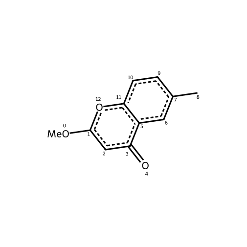 COc1cc(=O)c2cc(C)ccc2o1